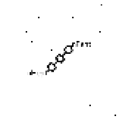 CCCCCCCC1CCC(c2ccc(C3=CCC(CCCCC)CC3)cc2)CC1